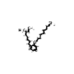 C=CCCCCCCCCOc1c[c]ccc1CCCCCC(C)CC